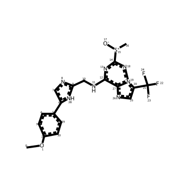 COc1ccc(-c2cnc(CNc3nc([S+](C)[O-])nn4c(C(F)(F)F)cnc34)[nH]2)cc1